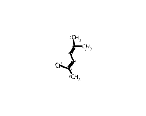 CC(C)=C/C=C(/C)Cl